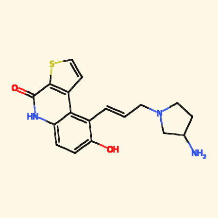 NC1CCN(C/C=C/c2c(O)ccc3[nH]c(=O)c4sccc4c23)C1